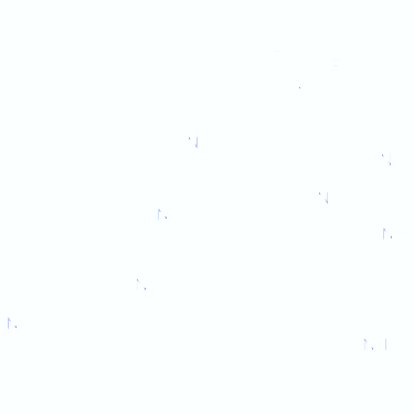 CC1(C#N)CN(c2ccc3c(-c4nc(NC5CCCNC5)ncc4C(F)(F)F)c[nH]c3n2)C1